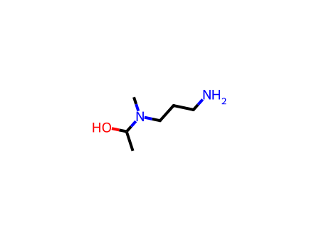 CC(O)N(C)CCCN